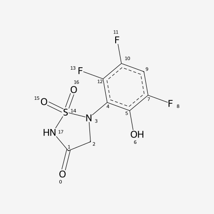 O=C1CN(c2c(O)c(F)cc(F)c2F)S(=O)(=O)N1